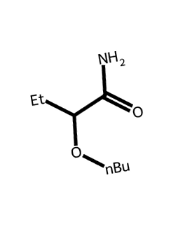 CCCCOC(CC)C(N)=O